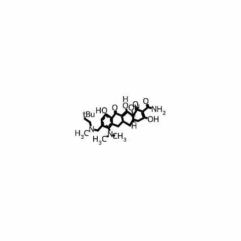 CN(CCC(C)(C)C)Cc1cc(O)c2c(c1N(C)C)CC1C[C@H]3CC(O)=C(C(N)=O)C(=O)[C@@]3(O)C(O)=C1C2=O